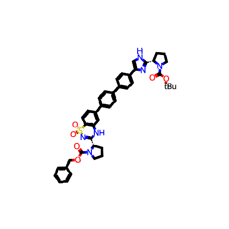 CC(C)(C)OC(=O)N1CCC[C@H]1c1nc(-c2ccc(-c3ccc(-c4ccc5c(c4)NC([C@@H]4CCCN4C(=O)OCc4ccccc4)=NS5(=O)=O)cc3)cc2)c[nH]1